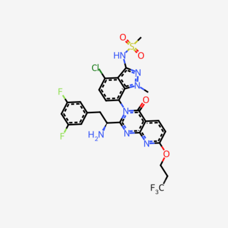 Cn1nc(NS(C)(=O)=O)c2c(Cl)ccc(-n3c([C@@H](N)Cc4cc(F)cc(F)c4)nc4nc(OCCC(F)(F)F)ccc4c3=O)c21